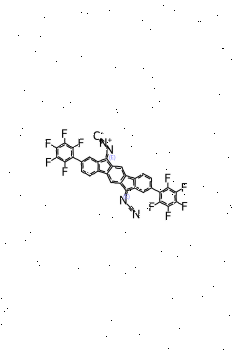 [C-]#[N+]/N=c1\c2cc(-c3c(F)c(F)c(F)c(F)c3F)ccc2c2cc3/c(=N/C#N)c4cc(-c5c(F)c(F)c(F)c(F)c5F)ccc4c3cc12